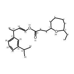 CCC1CCCCC(CCC(=O)O/C=C/C(C)c2cccc(C(C)C)c2)O1